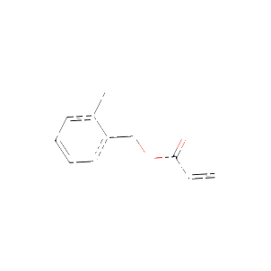 C=CC(=O)OCc1ccccc1C